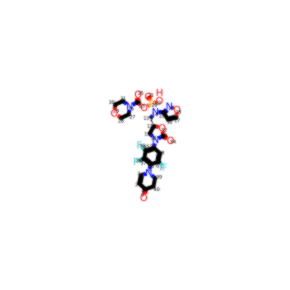 O=C1C=CN(c2c(F)cc(N3C[C@H](CN(c4ccon4)P(=O)(O)OC(=O)N4CCOCC4)OC3=O)c(F)c2F)CC1